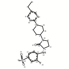 CCc1cnc(N2CCC(N3CC[C@H](Nc4ccc(S(C)(=O)=O)cc4F)C3=O)CC2)nc1